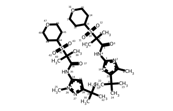 Cc1nc(NC(=O)C(C)(C)S(=O)(=O)C2CCOCC2)sc1C(C)(C)C.Cn1nc(C(C)(C)C)cc1NC(=O)C(C)(C)S(=O)(=O)C1CCOCC1